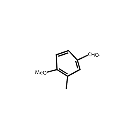 COc1ccc([C]=O)cc1C